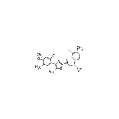 COc1cc(Cl)c(-c2nc(NCC(c3ccc(C)c(F)c3)C3CC3)sc2C)cc1C